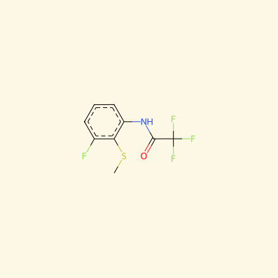 CSc1c(F)cccc1NC(=O)C(F)(F)F